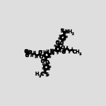 CCCCC(=O)Oc1ccc(/N=N/c2ccc(OC(=O)CCCO[N+](=O)[O-])c(C(=O)Oc3ccc(C(C)=S)cc3)c2)cc1C(=O)Oc1ccc(C(N)=S)cc1